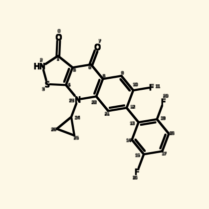 O=c1[nH]sc2c1c(=O)c1cc(F)c(-c3cc(F)ccc3F)cc1n2C1CC1